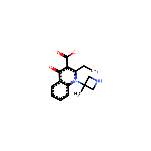 CCc1c(C(=O)O)c(=O)c2ccccc2n1C1(C)CNC1